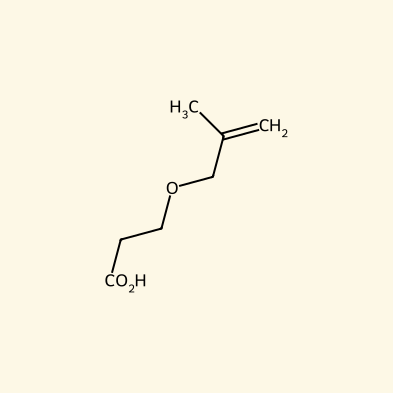 C=C(C)COCCC(=O)O